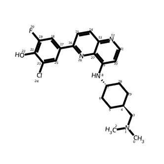 CN(C)C[C@H]1CC[C@H](Nc2[c]cnc3ccc(-c4cc(F)c(O)c(Cl)c4)nc23)CC1